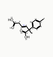 Cc1ccc(C(C)(/C=C/CC(=O)O)C(=O)O)cc1